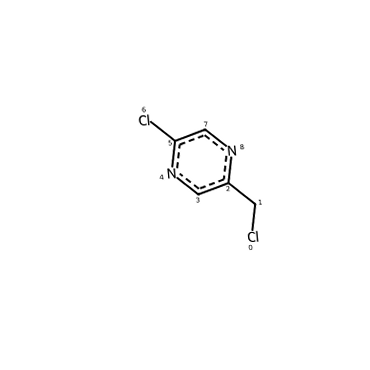 ClCc1cnc(Cl)cn1